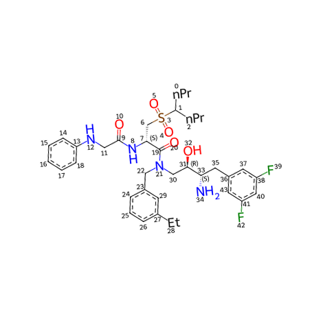 CCCC(CCC)S(=O)(=O)C[C@@H](NC(=O)CNc1ccccc1)C(=O)N(Cc1cccc(CC)c1)C[C@@H](O)[C@@H](N)Cc1cc(F)cc(F)c1